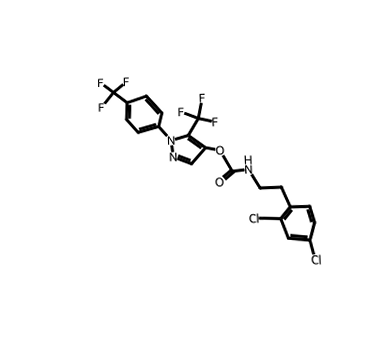 O=C(NCCc1ccc(Cl)cc1Cl)Oc1cnn(-c2ccc(C(F)(F)F)cc2)c1C(F)(F)F